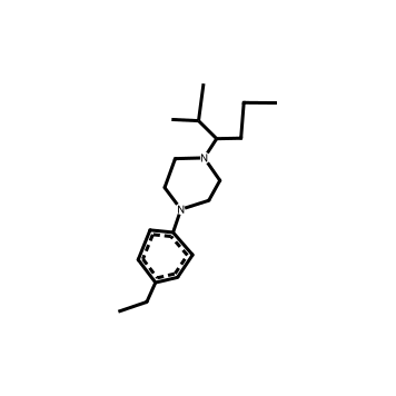 CCCC(C(C)C)N1CCN(c2ccc(CC)cc2)CC1